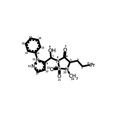 CC(C)CCC1C(=O)N(C(O)c2ccnn2-c2ccccc2)S(=O)(=O)N1C